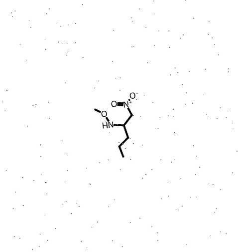 CCCC(C[N+](=O)[O-])NOC